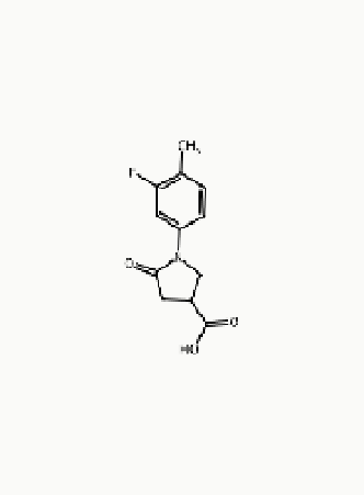 Cc1ccc(N2CC(C(=O)O)CC2=O)cc1F